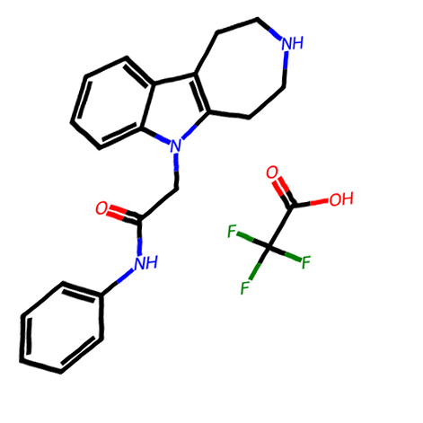 O=C(Cn1c2c(c3ccccc31)CCNCC2)Nc1ccccc1.O=C(O)C(F)(F)F